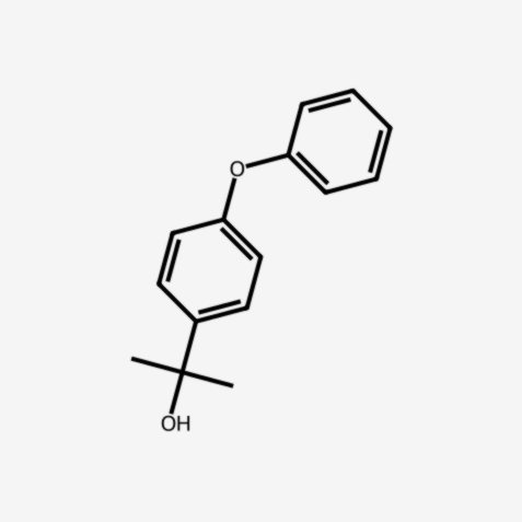 CC(C)(O)c1ccc(Oc2ccccc2)cc1